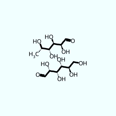 C[C@H](O)[C@@H](O)[C@@H](O)[C@H](O)C=O.O=C[C@H](O)[C@@H](O)[C@H](O)[C@H](O)CO